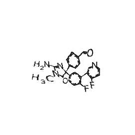 CN1C(=O)[C@@](c2ccc(C=O)cc2)(c2ccc(F)c(-c3cnccc3F)c2)N=C1N